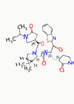 CC(C)N1C[C@H](C(=O)N2C[C@H]3[C@@H]([C@H]2C(=O)N[C@@H](C[C@@H]2CCNC2=O)C(=O)c2nc4ccccc4s2)C3(C)C)CC1=O